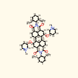 CC(C)c1cccc(C(C)C)c1N1C(=O)c2ccc3c4c(Oc5ccc[n+](C)c5)cc5c6c(ccc(c7c(Oc8ccc[n+](C)c8)cc(c2c37)C1=O)c64)C(=O)N(c1c(C(C)C)cccc1C(C)C)C5=O